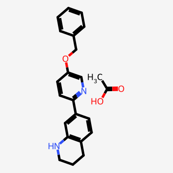 CC(=O)O.c1ccc(COc2ccc(-c3ccc4c(c3)NCCC4)nc2)cc1